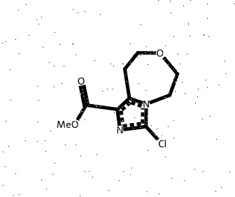 COC(=O)c1nc(Cl)n2c1CCOCC2